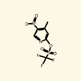 Cc1cc(OS(=O)(=O)C(F)(F)F)ncc1[N+](=O)[O-]